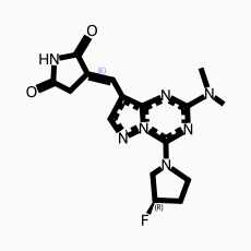 CN(C)c1nc(N2CC[C@@H](F)C2)n2ncc(/C=C3\CC(=O)NC3=O)c2n1